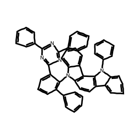 c1ccc(-c2nc(-c3ccccc3)nc(-c3cccc(-c4ccccc4)c3-n3c4ccccc4c4c3ccc3c5ccccc5n(-c5ccccc5)c34)n2)cc1